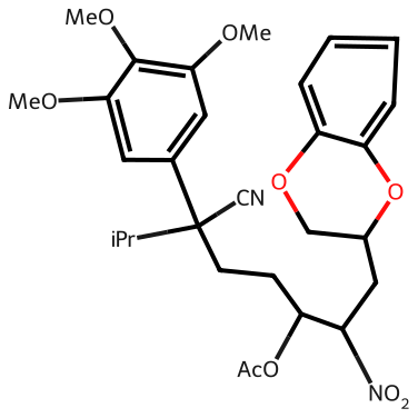 COc1cc(C(C#N)(CCC(OC(C)=O)C(CC2COc3ccccc3O2)[N+](=O)[O-])C(C)C)cc(OC)c1OC